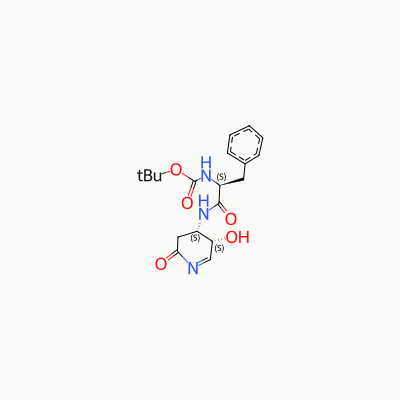 CC(C)(C)OC(=O)N[C@@H](Cc1ccccc1)C(=O)N[C@H]1CC(=O)N=C[C@H]1O